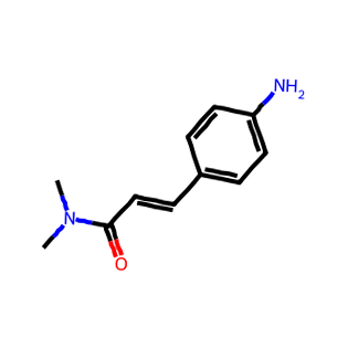 CN(C)C(=O)C=Cc1ccc(N)cc1